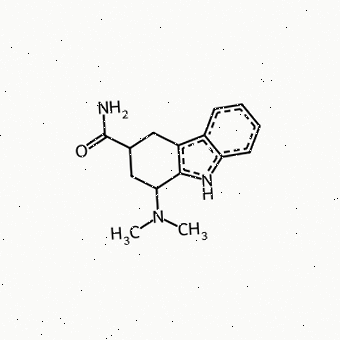 CN(C)C1CC(C(N)=O)Cc2c1[nH]c1ccccc21